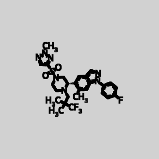 Cc1cc2c(cnn2-c2ccc(F)cc2)cc1[C@H]1CN(S(=O)(=O)c2cnn(C)n2)CCN1CC(C)(C)C(F)(F)F